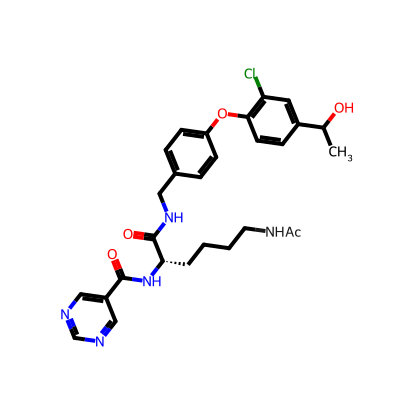 CC(=O)NCCCC[C@H](NC(=O)c1cncnc1)C(=O)NCc1ccc(Oc2ccc(C(C)O)cc2Cl)cc1